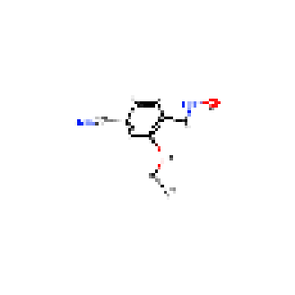 CCOc1cc(C#N)ccc1CNO